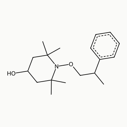 CC(CON1C(C)(C)CC(O)CC1(C)C)c1ccccc1